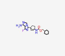 Nc1nccn2c(C34CCC(NC(=O)OCc5ccccc5)(CC3)C4)nc(I)c12